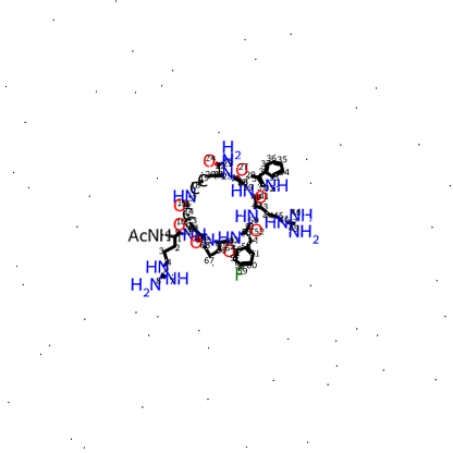 CC(=O)NC(CCCNC(=N)N)C(=O)N[C@H]1CCC(=O)NCCC[C@@H](C(N)=O)NC(=O)[C@H](Cc2c[nH]c3ccccc23)NC(=O)C(CCCNC(=N)N)NC(=O)[C@@H](Cc2ccc(F)cc2)NC(=O)C2CCCN2C1=O